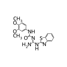 COc1ccc(NC(=O)N=C(N)Nc2nc3ccccc3s2)cc1OC